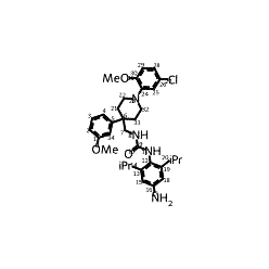 COc1cccc(C2(CNC(=O)Nc3c(C(C)C)cc(N)cc3C(C)C)CCN(c3cc(Cl)ccc3OC)CC2)c1